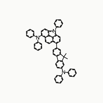 CC1(C)c2cc(-c3ccc4c5c3ccc3c(N(c6ccccc6)c6ccccc6)ccc(c35)n4-c3ccccc3)ccc2-c2ccc(N(c3ccccc3)c3ccccc3)cc21